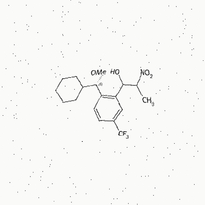 CO[C@H](c1ccc(C(F)(F)F)cc1C(O)C(C)[N+](=O)[O-])C1CCCCC1